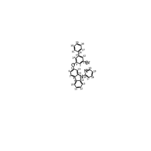 Brc1cc(Oc2ccc3c4ccccc4n(-c4ccccn4)c3c2)cc(-c2ccccc2)c1